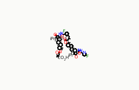 CC(C)C1=C2[C@H]3CCC4[C@@]5(C)CC[C@H](OC(=O)CC(C)(C)C(=O)O)C(C)(C)C5CC[C@@]4(C)[C@]3(C)CC[C@@]2(c2nnc(-c3cc(CC(C)(CC(=O)O[C@H]4CC[C@@]5(C)C(CC[C@]6(C)[C@@H]5CC[C@@H]5C7=C(C(C)C)C(=O)C[C@]7(c7nnc(-c8ccc(F)cn8)o7)CC[C@]56C)C4(C)C)C(=O)O)ccc3F)o2)CC1=O